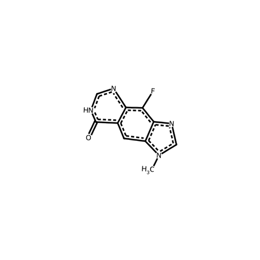 Cn1cnc2c(F)c3nc[nH]c(=O)c3cc21